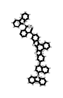 C=C(c1ccccc1/C(=C\C)c1ccc2c(c1)oc1c3oc4cc(-c5ccc(-n6c7ccccc7c7ccccc76)c6ccccc56)ccc4c3c3ccccc3c21)n1c2c(c3ccccc31)C=CCC2